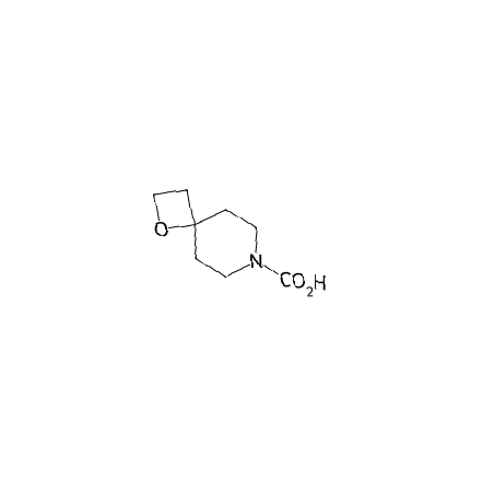 O=C(O)N1CCC2(CCO2)CC1